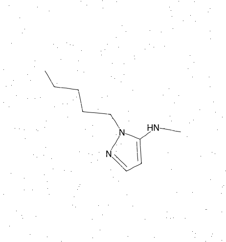 CCCCCn1nccc1NC